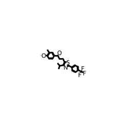 Cc1cc(C(=O)CCc2sc(-c3ccc(C(F)(F)F)cc3)nc2C(C)C)ccc1[O]